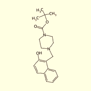 CC(C)(C)OC(=O)N1CCN(Cc2c(O)ccc3ccccc23)CC1